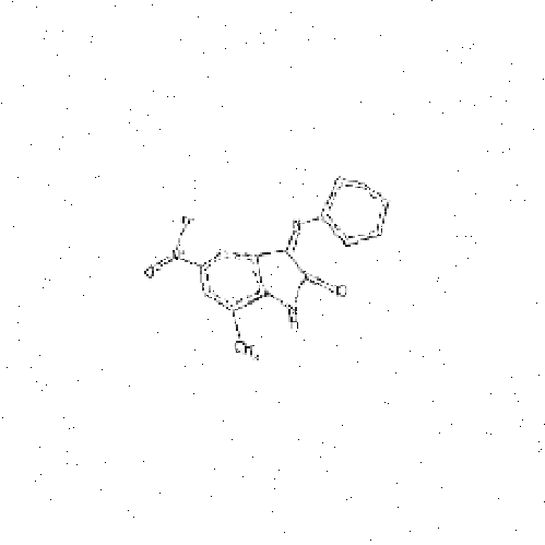 Cc1cc([N+](=O)[O-])cc2c1NC(=O)/C2=N\c1ccccc1